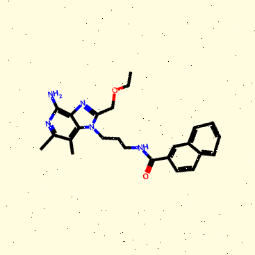 CCOCc1nc2c(N)nc(C)c(C)c2n1CCCNC(=O)c1ccc2ccccc2c1